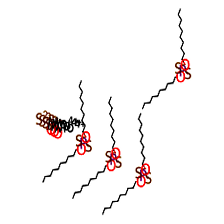 CCCCCCCCCCOP(=S)([S-])OCCCCCCCCCC.CCCCCCCCCCOP(=S)([S-])OCCCCCCCCCC.CCCCCCCCCCOP(=S)([S-])OCCCCCCCCCC.CCCCCCCCCCOP(=S)([S-])OCCCCCCCCCC.[O]=[Mo+4].[O]=[Mo+4].[O]=[Mo+4].[S-2].[S-2].[S-2].[S-2]